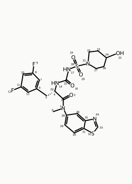 CN(C(=O)[C@H](Cc1cc(F)cc(F)c1)NC(=O)NS(=O)(=O)N1CCC(O)CC1)c1ccc2scnc2c1